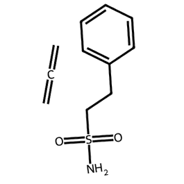 C=C=C.NS(=O)(=O)CCc1ccccc1